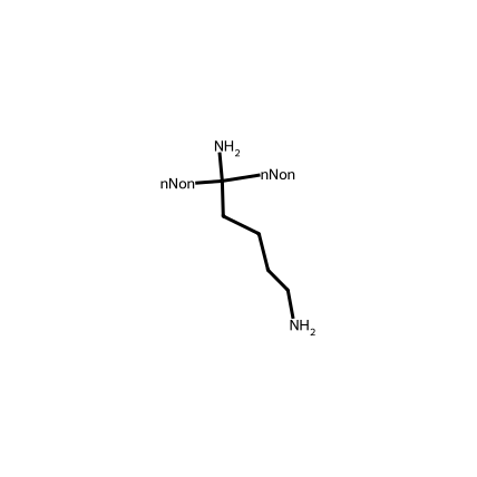 CCCCCCCCCC(N)(CCCCN)CCCCCCCCC